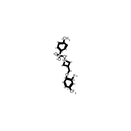 Cc1ccc(S(=O)(=O)ON2CC(COc3ccc(C(F)(F)F)cc3F)C2)cc1